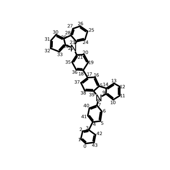 c1ccc(-c2ccc(-n3c4ccccc4c4cc(-c5ccc(-n6c7ccccc7c7ccccc76)cc5)ccc43)cc2)cc1